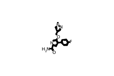 Cn1cc(COc2cnc(C(N)=O)cc2-c2ccc(F)cc2)cn1